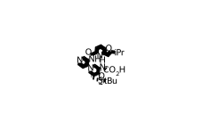 CC(C)c1cc2nc(C(=O)Nc3cnccc3N3C[C@H](C)[C@@H](O[Si](C)(C)C(C)(C)C)[C@H](NC(=O)O)C3)ccc2o1